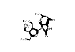 CC(=O)OC[C@@H]1O[C@@H](n2c(=O)[nH]c3c(Cl)nc(N)nc32)[C@H](CC(=O)O)[C@@H]1CC(=O)O